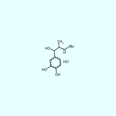 CC(NC(C)(C)C)C(O)c1ccc(O)c(O)c1.Cl